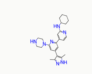 Cc1n[nH]c(C)c1-c1cc(-c2ccnc(NC3CCCCC3)c2)nc(N2CCNCC2)c1